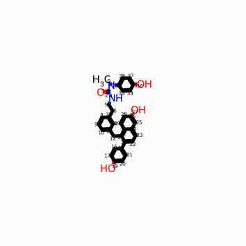 CN(C(=O)NCCc1cccc(Cc2c(-c3ccc(O)cc3)ccc3cc(O)ccc23)c1)c1ccc(O)cc1